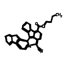 CCCCOC(=O)c1ccc(=C(C#N)C#N)c2c1-c1ccccc1C=2c1cccc2c1Cc1ccccc1-2